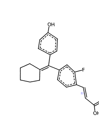 O=C(O)/C=C/c1ccc(C(=C2CCCCC2)c2ccc(O)cc2)cc1F